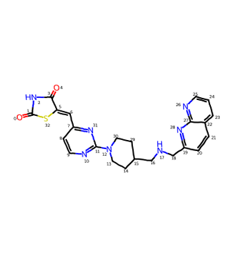 O=C1NC(=O)/C(=C/c2ccnc(N3CCC(CNCc4ccc5cccnc5n4)CC3)n2)S1